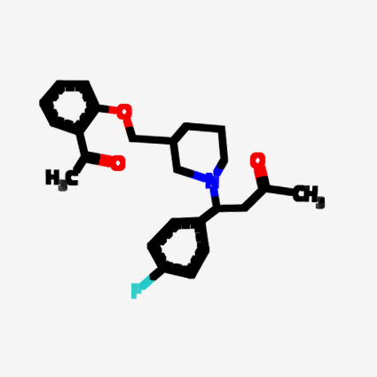 CC(=O)CC(c1ccc(F)cc1)N1CCCC(COc2ccccc2C(C)=O)C1